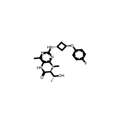 Cc1nc(N[C@H]2C[C@H](Oc3ccc(F)cc3)C2)nc2c1NC(=O)[C@H]([C@@H](C)O)N2C